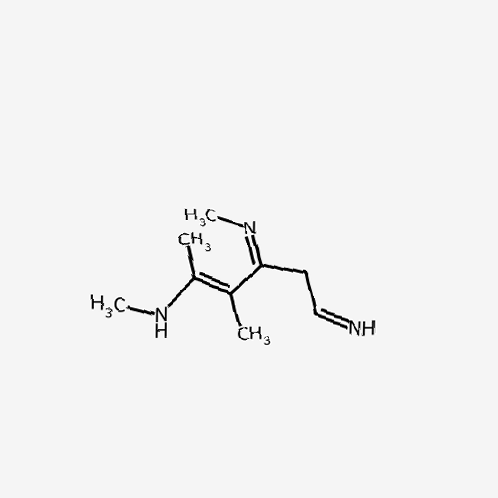 C/N=C(CC=N)\C(C)=C(/C)NC